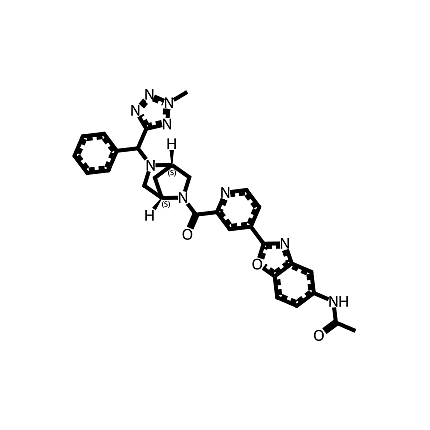 CC(=O)Nc1ccc2oc(-c3ccnc(C(=O)N4C[C@@H]5C[C@H]4CN5C(c4ccccc4)c4nnn(C)n4)c3)nc2c1